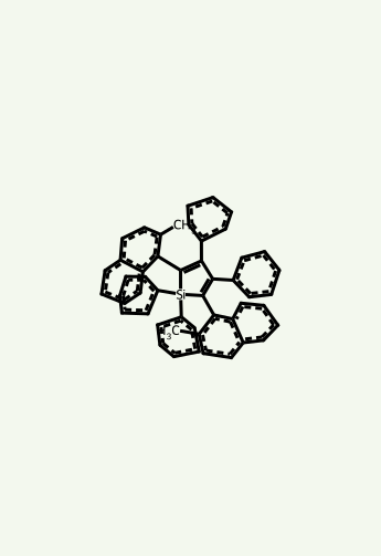 Cc1ccc2ccccc2c1C1=C(c2ccccc2)C(c2ccccc2)=C(c2c(C)ccc3ccccc23)[Si]1(c1ccccc1)c1ccccc1